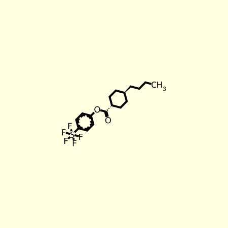 CCCC[C@H]1CC[C@H](C(=O)Oc2ccc(S(F)(F)(F)(F)F)cc2)CC1